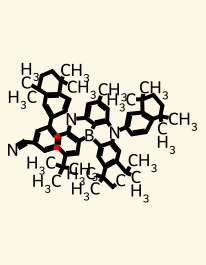 Cc1cc2c3c(c1)N(c1cc4c(cc1-c1cccc(C#N)c1)C(C)(C)CCC4(C)C)c1ccc(C(C)(C)C)cc1B3c1cc3c(cc1N2c1ccc2c(c1)C(C)(C)CCC2(C)C)C(C)(C)CCC3(C)C